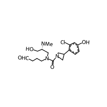 CN[C@@H](CO)CN(CCCC=O)C(=O)N1CC(c2ccc(O)cc2Cl)C1